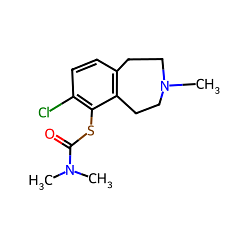 CN1CCc2ccc(Cl)c(SC(=O)N(C)C)c2CC1